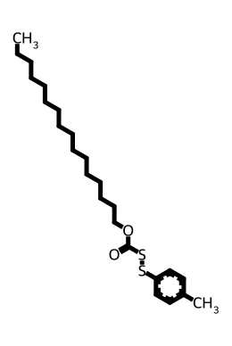 CCCCCCCCCCCCCCCCOC(=O)SSc1ccc(C)cc1